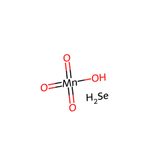 [O]=[Mn](=[O])(=[O])[OH].[SeH2]